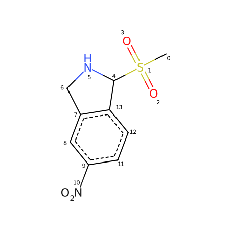 CS(=O)(=O)C1NCc2cc([N+](=O)[O-])ccc21